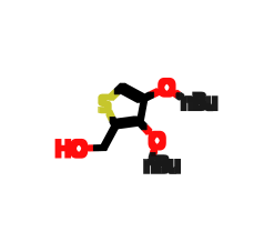 CCCCOc1csc(CO)c1OCCCC